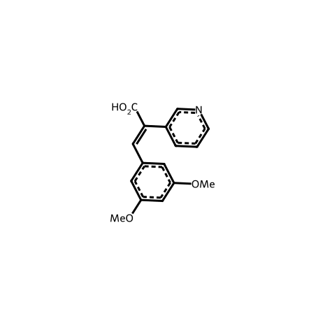 COc1cc(/C=C(/C(=O)O)c2cccnc2)cc(OC)c1